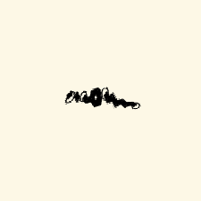 COCCCCCCOc1ccc(COCCOC)cc1